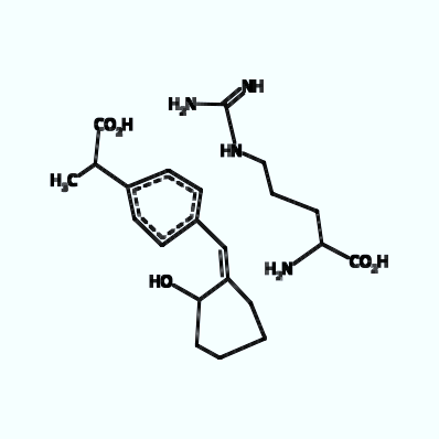 CC(C(=O)O)c1ccc(/C=C2/CCCCC2O)cc1.N=C(N)NCCCC(N)C(=O)O